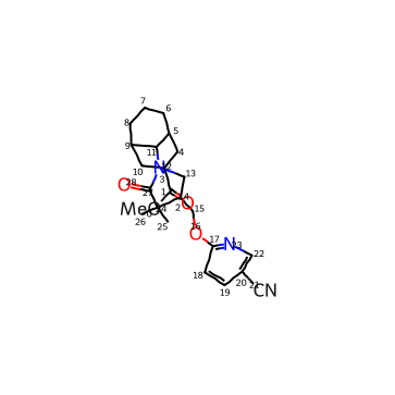 COC(=O)C1CC2CCCC(C1)C2N1CC(COc2ccc(C#N)cn2)C(C)(C)C1=O